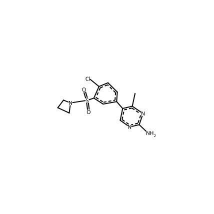 Cc1nc(N)ncc1-c1ccc(Cl)c(S(=O)(=O)N2CCC2)c1